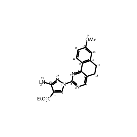 CCOC(=O)c1cn(-c2ncc3c(n2)-c2ccc(OC)cc2CC3)nc1N